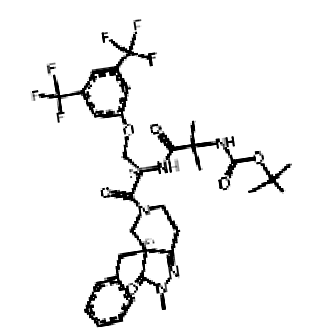 CN1N=C2CCN(C(=O)[C@@H](COc3cc(C(F)(F)F)cc(C(F)(F)F)c3)NC(=O)C(C)(C)NC(=O)OC(C)(C)C)C[C@@]2(Cc2ccccc2)C1=O